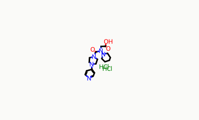 Cl.Cl.O=C(O)CN(C(=O)N1CCN(c2ccncc2)CC1)N1CCCCC1